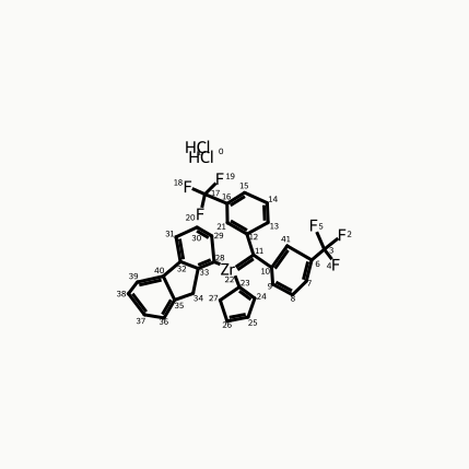 Cl.Cl.FC(F)(F)c1cccc([C](c2cccc(C(F)(F)F)c2)=[Zr]([C]2=CC=CC2)[c]2cccc3c2Cc2ccccc2-3)c1